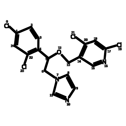 Clc1ccc(C(Cn2ccnc2)OCc2cnc(Cl)cc2Cl)c(Cl)c1